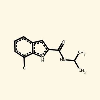 CC(C)NC(=O)c1cc2cccc(Cl)c2[nH]1